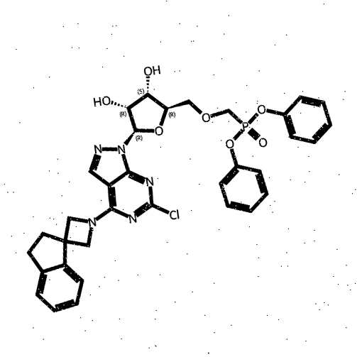 O=P(COC[C@H]1O[C@@H](n2ncc3c(N4CC5(CCc6ccccc65)C4)nc(Cl)nc32)[C@H](O)[C@@H]1O)(Oc1ccccc1)Oc1ccccc1